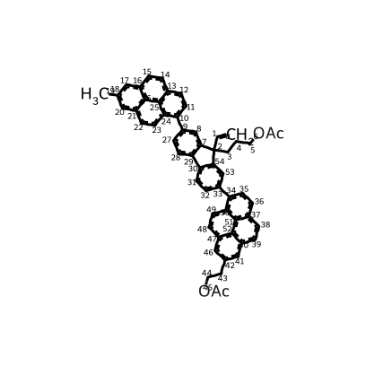 C=CC1(CCCOC(C)=O)c2cc(-c3ccc4ccc5cc(C)cc6ccc3c4c56)ccc2-c2ccc(-c3ccc4ccc5cc(CCOC(C)=O)cc6ccc3c4c56)cc21